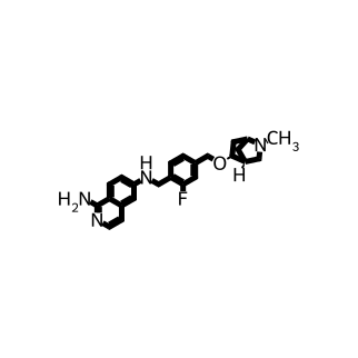 CN1C[C@@H]2CC1C[C@H]2OCc1ccc(CNc2ccc3c(N)nccc3c2)c(F)c1